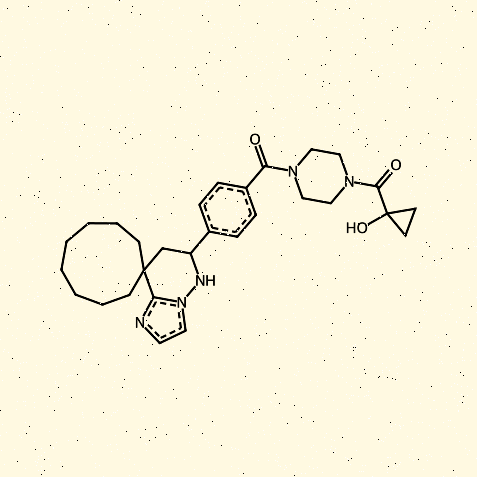 O=C(c1ccc(C2CC3(CCCCCCCC3)c3nccn3N2)cc1)N1CCN(C(=O)C2(O)CC2)CC1